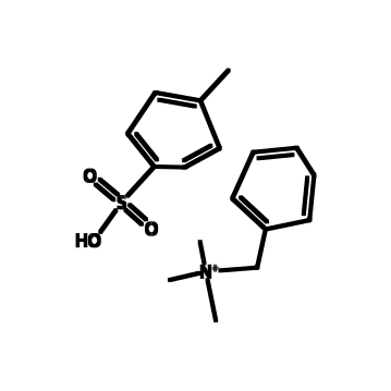 C[N+](C)(C)Cc1ccccc1.Cc1ccc(S(=O)(=O)O)cc1